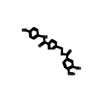 COc1ccc(C(=O)OCc2ccc(C(=O)Nc3ccc(O)cc3)cc2)cc1C(C)(C)C